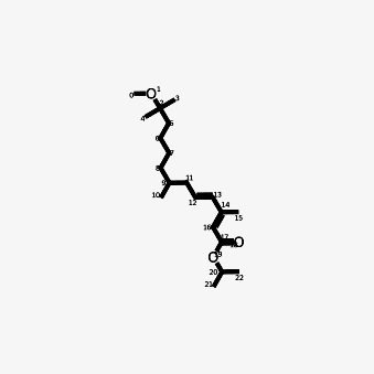 COC(C)(C)CCCCC(C)CC=CC(C)=CC(=O)OC(C)C